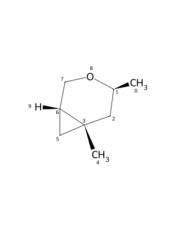 C[C@H]1C[C@]2(C)C[C@@H]2CO1